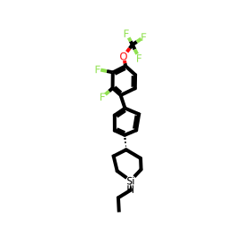 CCC[Si@H]1CC[C@H](c2ccc(-c3ccc(OC(F)(F)F)c(F)c3F)cc2)CC1